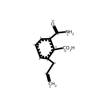 C=CCc1cccc(C(N)=O)c1C(=O)O